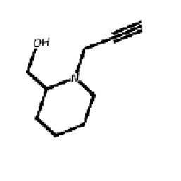 C#CCN1CCCCC1CO